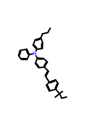 CCCc1ccc(N(c2ccccc2)c2ccc(C=Cc3ccc(C(C)(C)CC)cc3)cc2)cc1